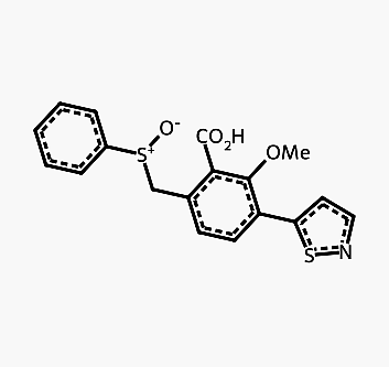 COc1c(-c2ccns2)ccc(C[S+]([O-])c2ccccc2)c1C(=O)O